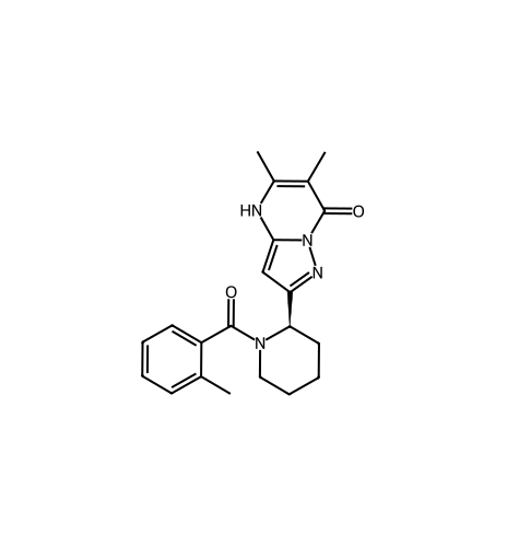 Cc1ccccc1C(=O)N1CCCC[C@@H]1c1cc2[nH]c(C)c(C)c(=O)n2n1